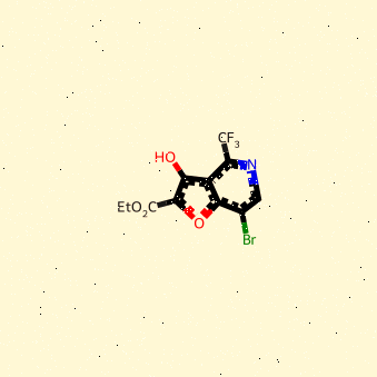 CCOC(=O)c1oc2c(Br)cnc(C(F)(F)F)c2c1O